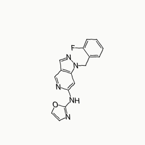 Fc1ccccc1Cn1ncc2cnc(Nc3ncco3)cc21